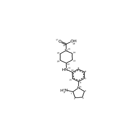 NC1CCCN1c1cccc(NC2CCN(C(=O)O)CC2)c1